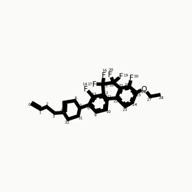 C=CCCC1=CCC(c2ccc3c(c2F)C(F)(F)C(F)(F)c2c-3ccc(OCC)c2F)CC1